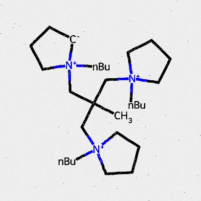 CCCC[N+]1(CC(C)(C[N+]2(CCCC)CCCC2)C[N+]2(CCCC)CCCC2)[CH-]CCC1